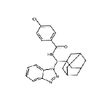 O=C(NC(n1nnc2ccccc21)C12CC3CC(CC(C3)C1)C2)c1ccc(Cl)cc1